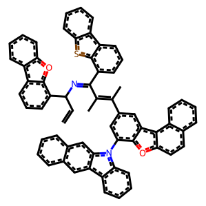 C=CC(/N=C(\C(C)=C(/C)c1cc(-n2c3ccccc3c3cc4ccccc4cc32)c2oc3ccc4ccccc4c3c2c1)c1cccc2c1sc1ccccc12)c1cccc2c1oc1ccccc12